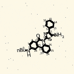 CCCCNc1ccc(C(=O)Nc2nc(-c3ccccc3)c(N)s2)c(-c2ccccc2)c1